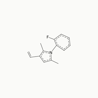 C=Cc1cc(C)n(-c2ccccc2F)c1C